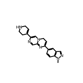 Cn1ncc2cc(C3=CCN4C=C(C5=CCNCC5)N=CC4=N3)ccc21